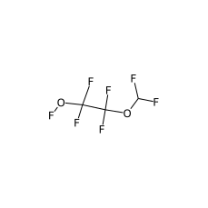 FOC(F)(F)C(F)(F)OC(F)F